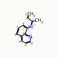 C=C/C(C)=N\c1cccc2cccnc12